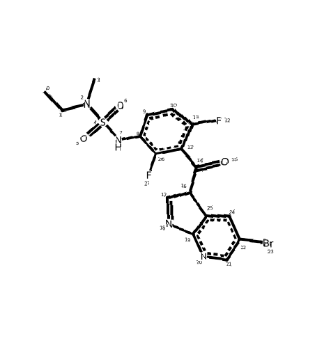 CCN(C)S(=O)(=O)Nc1ccc(F)c(C(=O)C2C=Nc3ncc(Br)cc32)c1F